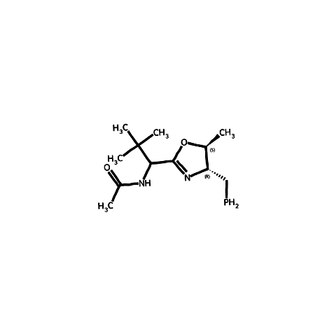 CC(=O)NC(C1=N[C@@H](CP)[C@H](C)O1)C(C)(C)C